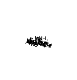 Cc1cc2nc(C(=O)Nc3ccc(N4CCN(C5CC5)CC4)cc3C(N)=O)cn2c(C)n1